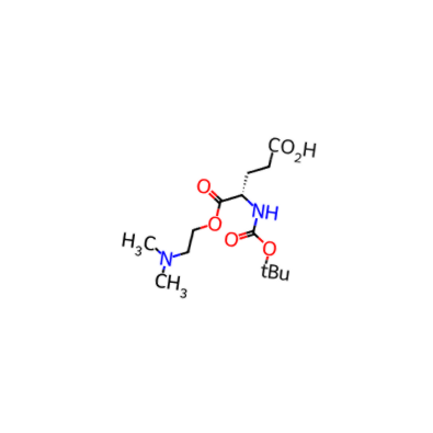 CN(C)CCOC(=O)[C@H](CCC(=O)O)NC(=O)OC(C)(C)C